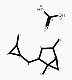 CC1CC1CC1CC(C)C2CC12C.O=C(O)O